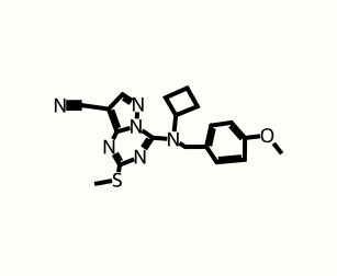 COc1ccc(CN(c2nc(SC)nc3c(C#N)cnn23)C2CCC2)cc1